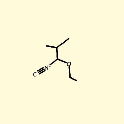 [C-]#[N+]C(OCC)C(C)C